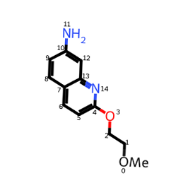 COCCOc1ccc2ccc(N)cc2n1